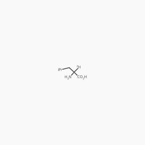 [2H]C(N)(CC(C)C)C(=O)O